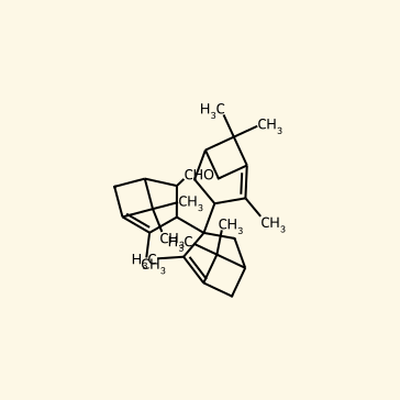 CC1=C2CC(CC1C1(C3C(C)=C4CC(C3C=O)C4(C)C)CC3CC(=C1C)C3(C)C)C2(C)C